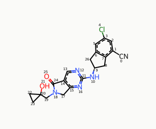 N#Cc1cc(Cl)cc2c1C[C@@H](Nc1ncc3c(n1)CN(CC1(O)CC1)C3=O)C2